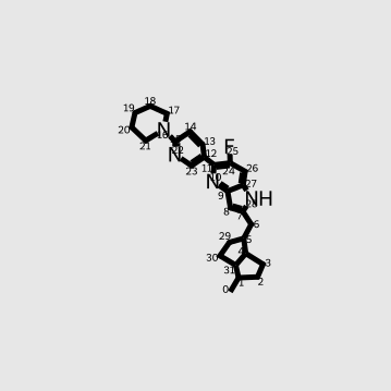 CC1CCC2C(Cc3cc4nc(-c5ccc(N6CCCCC6)nc5)c(F)cc4[nH]3)CCC12